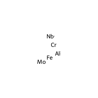 [Al].[Cr].[Fe].[Mo].[Nb]